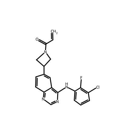 C=CC(=O)N1CC(c2ccc3ncnc(Nc4cccc(Cl)c4F)c3c2)C1